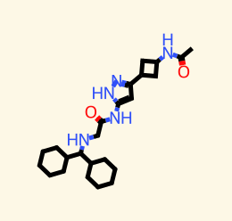 CC(=O)NC1CC(c2cc(NC(=O)CNC(C3CCCCC3)C3CCCCC3)[nH]n2)C1